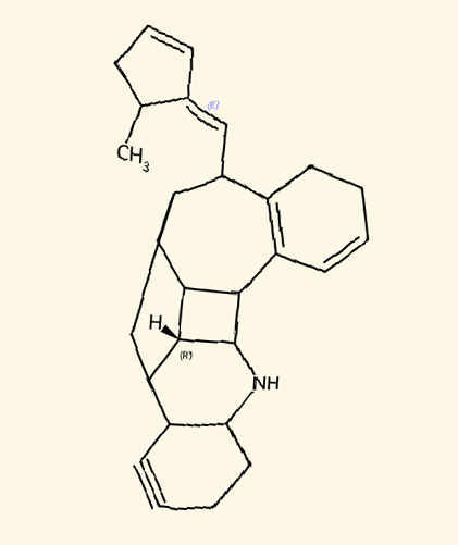 CC1CC=C/C1=C/C1C2=C(C=CCC2)C2C3CC1CC1C4C#CCCC4NC2[C@H]13